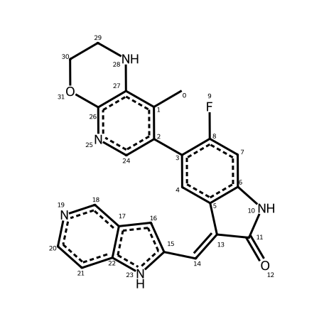 Cc1c(-c2cc3c(cc2F)NC(=O)C3=Cc2cc3cnccc3[nH]2)cnc2c1NCCO2